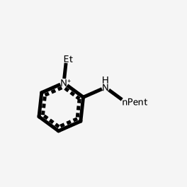 CCCCCNc1cccc[n+]1CC